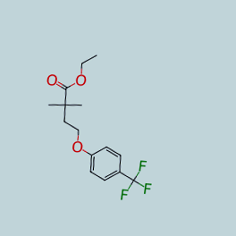 CCOC(=O)C(C)(C)CCOc1ccc(C(F)(F)F)cc1